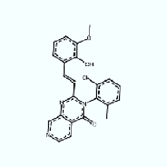 COc1cccc(/C=C/c2nc3cnccc3c(=O)n2-c2c(C)cccc2Cl)c1O